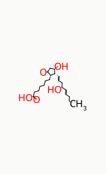 CCC/C=C/[C@H](O)C/C=C/[C@H]1[C@H](O)CC(=O)[C@@H]1CCCCCCC(=O)O